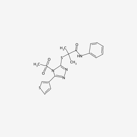 CC(C)(Sc1nnc(-c2ccsc2)n1S(C)(=O)=O)C(=O)Nc1ccccc1